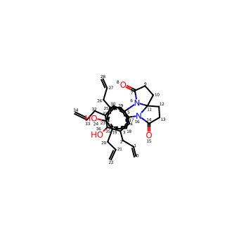 C=CCc1cc(N2C(=O)CCC23CCC(=O)N3c2cc(CC=C)c(O)c(CC=C)c2)cc(CC=C)c1O